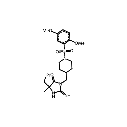 COc1ccc(OC)c(S(=O)(=O)N2CCC(CN3C(=N)NC(C)(CC(C)C)C3=O)CC2)c1